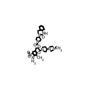 Cc1cc(CC(OC(=O)N2CCC(N3CCc4ccccc4NC3=O)CC2)C(=O)N2CCC(N3CCN(C)CC3)CC2)cc([N+](=O)[O-])c1N